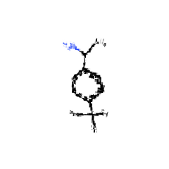 [2H]C([2H])([2H])c1ccc(C(C)N)cc1